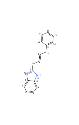 C(=CCc1nc2ccccc2[nH]1)Cc1ccccc1